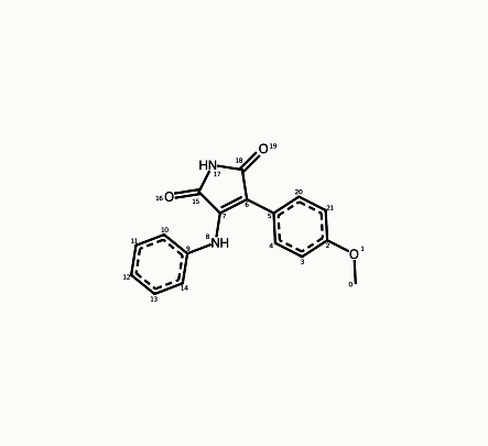 COc1ccc(C2=C(Nc3ccccc3)C(=O)NC2=O)cc1